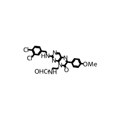 COc1ccc(-c2nc3cnc(NCc4ccc(Cl)c(Cl)c4)nc3n(CCNC=O)c2=O)cc1